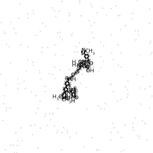 Cc1ncsc1-c1ccc(CNC(=O)[C@@H]2C[C@@H](O)CN2C(=O)C(NC(=O)CCOCCOCCNC(=O)c2ccc(-c3ccc(N4C[C@@H](C)N(C)[C@@H](C)C4)c(NC(=O)c4c[nH]c(=O)cc4C(F)(F)F)c3)c(F)c2)C(C)(C)C)cc1